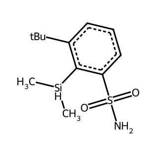 C[SiH](C)c1c(C(C)(C)C)cccc1S(N)(=O)=O